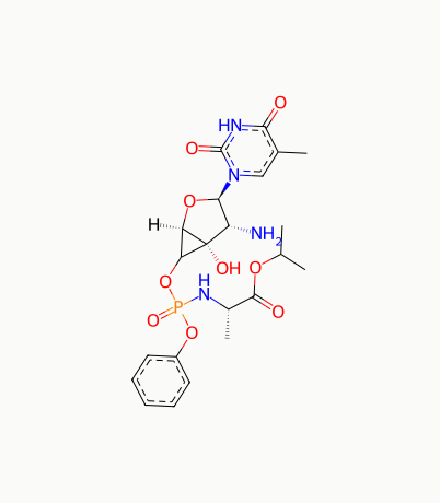 Cc1cn([C@@H]2O[C@@H]3C(OP(=O)(N[C@@H](C)C(=O)OC(C)C)Oc4ccccc4)[C@]3(O)[C@H]2N)c(=O)[nH]c1=O